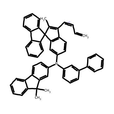 C=C/C=C\C1=C(C)C2(c3cc(N(c4cccc(-c5ccccc5)c4)c4ccc5c(c4)C(C)(C)c4ccccc4-5)ccc31)c1ccccc1-c1ccccc12